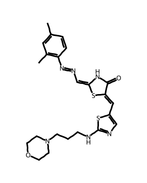 Cc1ccc(N=NC=c2[nH]c(=O)c(=Cc3cnc(NCCCN4CCOCC4)s3)s2)c(C)c1